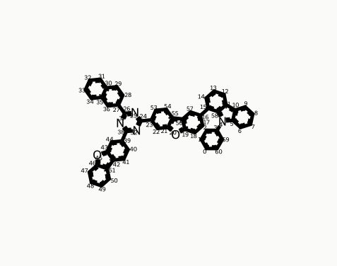 c1ccc(-n2c3ccccc3c3cccc(-c4ccc5oc6cc(-c7nc(-c8ccc9ccccc9c8)nc(-c8ccc9c(c8)oc8ccccc89)n7)ccc6c5c4)c32)cc1